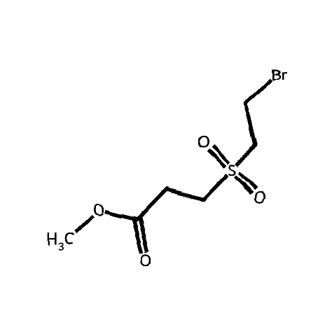 COC(=O)CCS(=O)(=O)CCBr